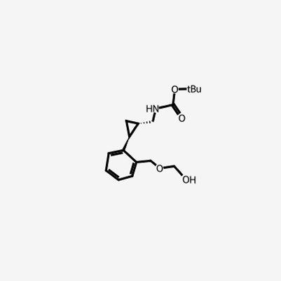 CC(C)(C)OC(=O)NC[C@H]1C[C@@H]1c1ccccc1COCO